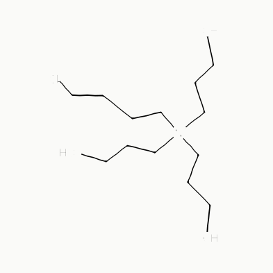 CCCC[N+](CCCC)(CCCC)CCCCCl